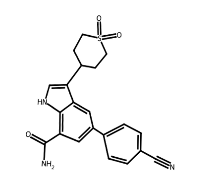 N#Cc1ccc(-c2cc(C(N)=O)c3[nH]cc(C4CCS(=O)(=O)CC4)c3c2)cc1